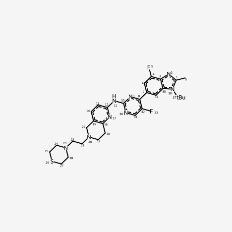 Cc1nc2c(F)cc(-c3nc(Nc4ccc5c(n4)CCN(CCN4CCSCC4)C5)ncc3F)cc2n1C(C)(C)C